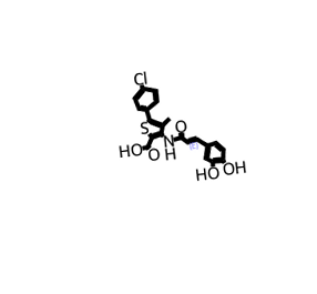 Cc1c(-c2ccc(Cl)cc2)sc(C(=O)O)c1NC(=O)/C=C/c1ccc(O)c(O)c1